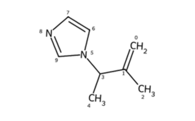 C=C(C)C(C)n1ccnc1